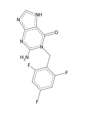 Nc1nc2nc[nH]c2c(=O)n1Cc1c(F)cc(F)cc1F